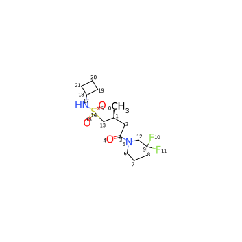 C[C@@H](CC(=O)N1CCCC(F)(F)C1)CS(=O)(=O)NC1CCC1